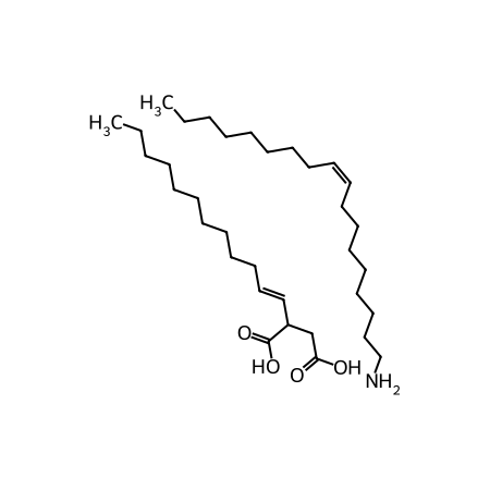 CCCCCCCC/C=C\CCCCCCCCN.CCCCCCCCCCC=CC(CC(=O)O)C(=O)O